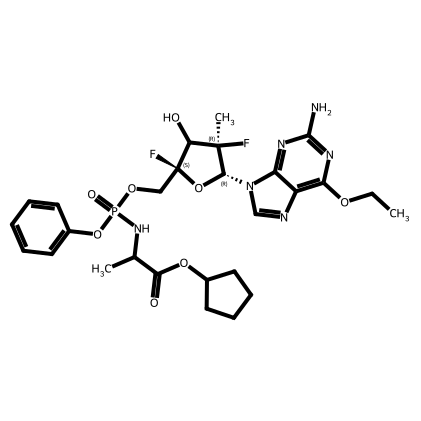 CCOc1nc(N)nc2c1ncn2[C@@H]1O[C@](F)(COP(=O)(NC(C)C(=O)OC2CCCC2)Oc2ccccc2)C(O)[C@@]1(C)F